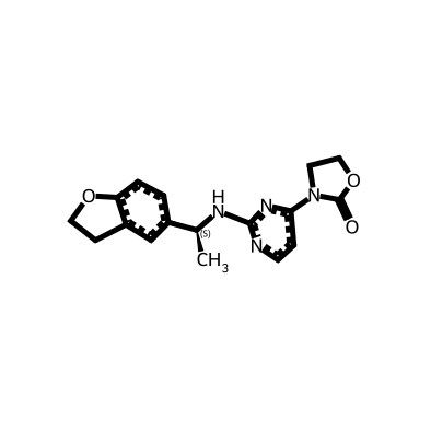 C[C@H](Nc1nccc(N2CCOC2=O)n1)c1ccc2c(c1)CCO2